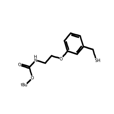 CC(C)(C)OC(=O)NCCOc1cccc(CS)c1